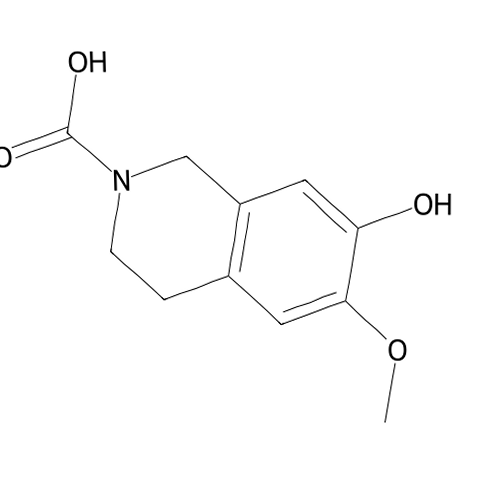 COc1cc2c(cc1O)CN(C(=O)O)CC2